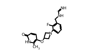 Cc1[nH]c(=O)ccc1OC1CN(c2cccc(CN[C]=N)c2F)C1